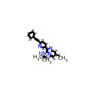 CCc1ccn2c(NC(C)(C)C)c(-c3ccc(C#Cc4ccccc4)nc3)nc2c1